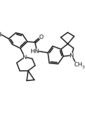 CN1CC2(CCC2)c2cc(NC(=O)c3ccc(I)cc3N3CCC4(CC3)CC4)ccc21